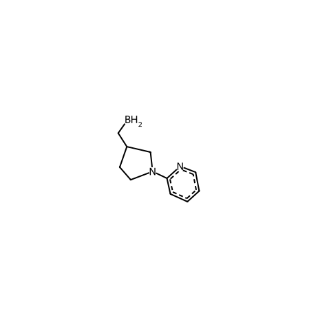 BCC1CCN(c2ccccn2)C1